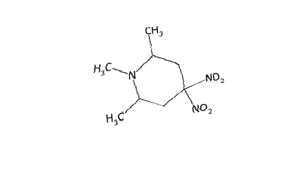 CC1CC([N+](=O)[O-])([N+](=O)[O-])CC(C)N1C